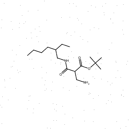 CCCCC(CC)CNC(=O)C(CN)C(=O)OC(C)(C)C